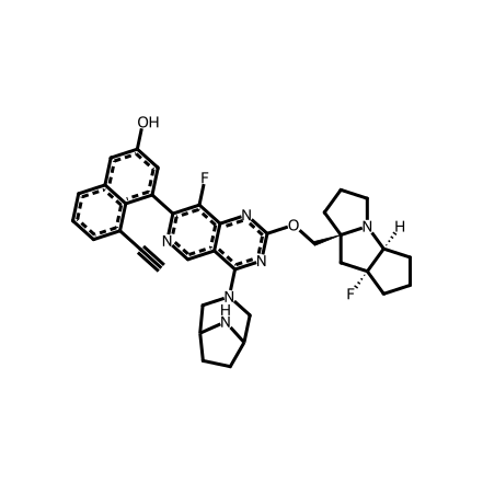 C#Cc1cccc2cc(O)cc(-c3ncc4c(N5CC6CCC(C5)N6)nc(OC[C@@]56CCCN5[C@H]5CCC[C@@]5(F)C6)nc4c3F)c12